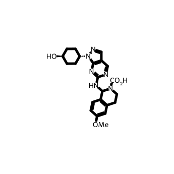 COc1ccc2c(c1)CCN(C(=O)O)C2Nc1ncc2cnn([C@H]3CC[C@H](O)CC3)c2n1